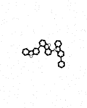 c1ccc(-c2ccc3c4ccccc4n(-c4cccc5c4oc4cccc(-c6ccc7oc8ccccc8c7c6)c45)c3c2)cc1